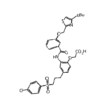 CC(C)(C)c1csc(COc2cccc(C(=O)Nc3cc(CCCS(=O)(=O)c4ccc(Cl)cc4)ccc3OCC(=O)O)c2)n1